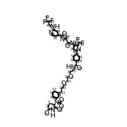 O=C1CCC(n2c(=O)oc3c(CCCOCCOCCNC(=O)c4ccc(-n5cc(NC(=O)c6coc(-c7ccnc(NCC(F)(F)F)c7)n6)c(C(F)F)n5)cc4)cccc32)C(=O)N1